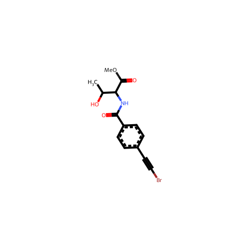 COC(=O)C(NC(=O)c1ccc(C#CBr)cc1)C(C)O